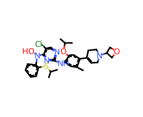 Cc1cc(Nc2ncc(Cl)c(N(O)c3ccccc3SC(C)C)n2)c(OC(C)C)cc1C1=CCN(C2COC2)CC1